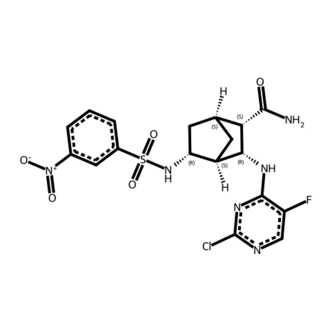 NC(=O)[C@H]1[C@H]2C[C@@H]([C@H]1Nc1nc(Cl)ncc1F)[C@H](NS(=O)(=O)c1cccc([N+](=O)[O-])c1)C2